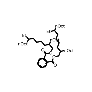 CCCCCCCCC(CC)CCCCC(CCCCCCCC)COC(=O)c1ccccc1C(=O)OCC(CCCCCCCC)CCCCC(CC)CCCCCCCC